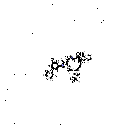 CC[Si](CC)(CC)O[C@]1(C)CCC(O[Si](C)(C)C(C)(C)C)CC(=O)O[C@H](/C(C)=C/c2cc(F)cc(N3CCOCC3)c2)[C@@H](C)/C=C/[C@@H]1O